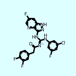 O=C(Cc1ccc(F)c(F)c1)/N=C(/Nc1cc(F)cc(Cl)c1)Nc1n[nH]c2cc(F)cnc12